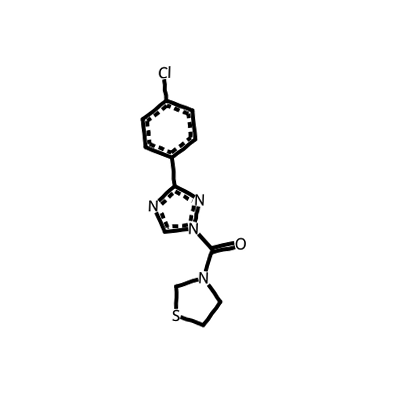 O=C(N1CCSC1)n1cnc(-c2ccc(Cl)cc2)n1